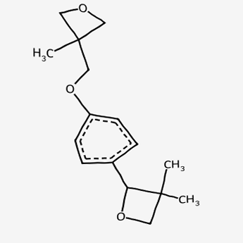 CC1(COc2ccc(C3OCC3(C)C)cc2)COC1